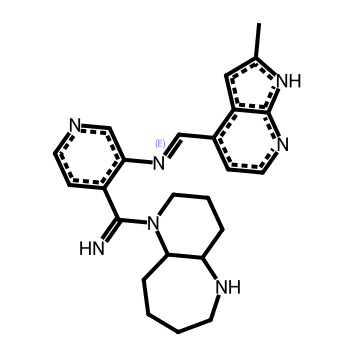 Cc1cc2c(/C=N/c3cnccc3C(=N)N3CCCC4NCCCCC43)ccnc2[nH]1